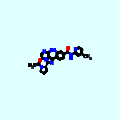 CC(=O)N1CCC[C@H]1c1nc(-c2ccc(C(=O)Nc3cc(C)ccn3)cc2)c2c(N)nccn12